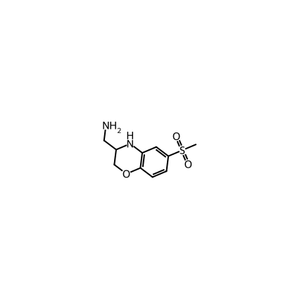 CS(=O)(=O)c1ccc2c(c1)NC(CN)CO2